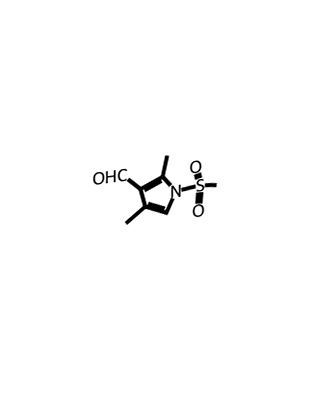 Cc1cn(S(C)(=O)=O)c(C)c1C=O